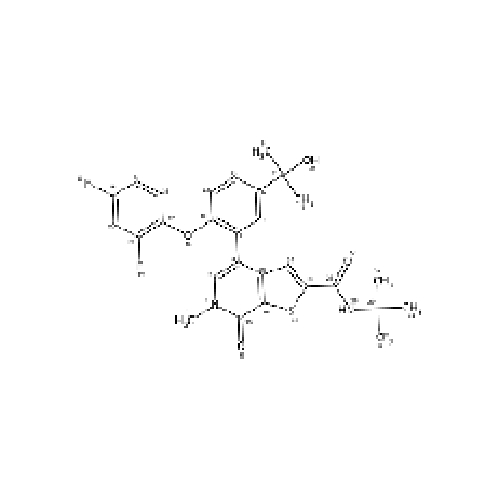 Cn1cc(-c2cc(C(C)(C)O)ccc2Oc2ccc(F)cc2F)c2cc(C(=O)NC(C)(C)C(F)(F)F)sc2c1=O